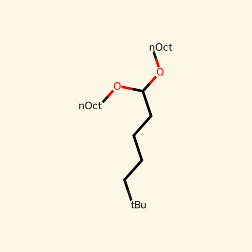 CCCCCCCCOC(CCCCC(C)(C)C)OCCCCCCCC